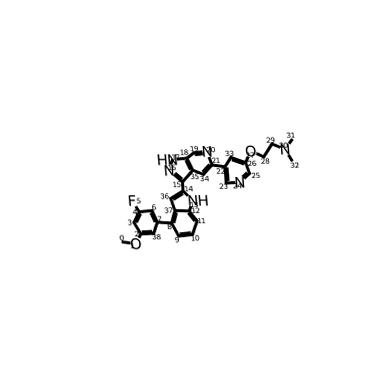 COc1cc(F)cc(-c2cccc3[nH]c(-c4n[nH]c5cnc(-c6cncc(OCCN(C)C)c6)cc45)cc23)c1